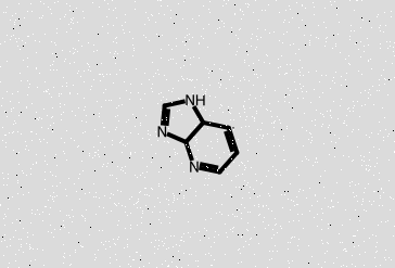 [C]1=CC=NC2N=CNC12